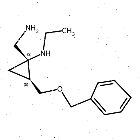 CCN[C@@]1(CN)C[C@@H]1COCc1ccccc1